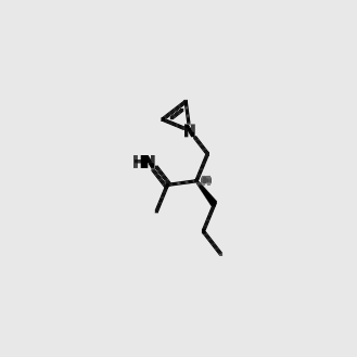 CCC[C@H](CN1C=C1)C(C)=N